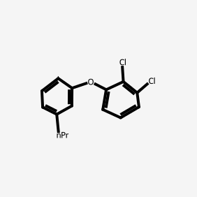 CCCc1cc[c]c(Oc2cccc(Cl)c2Cl)c1